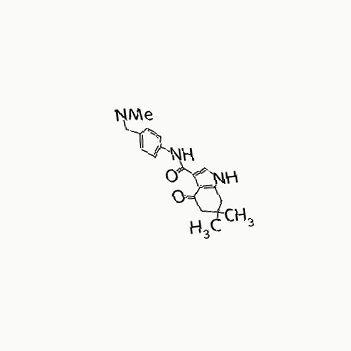 CNCc1ccc(NC(=O)c2c[nH]c3c2C(=O)CC(C)(C)C3)cc1